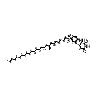 CCCCCCCCCCCCCCCCCC(F)CCCCCCCS(=O)(=O)c1ccc(NC2CCC(=O)NC2=O)cc1